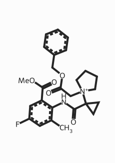 COC(=O)c1cc(F)cc(C)c1NC(=O)C1([N+]2(CC(=O)OCc3ccccc3)CCCC2)CC1